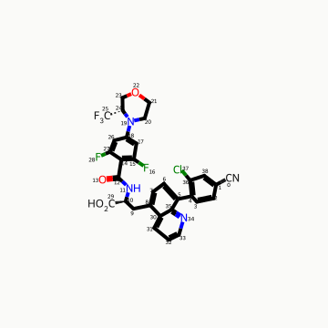 N#Cc1ccc(-c2ccc(C[C@H](NC(=O)c3c(F)cc(N4CCOC[C@H]4C(F)(F)F)cc3F)C(=O)O)c3cccnc23)c(Cl)c1